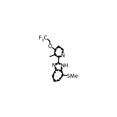 CSc1cccc2nc(-c3nccc(OCC(F)(F)F)c3C)[nH]c12